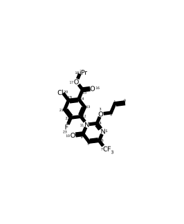 C=CCOc1nc(C(F)(F)F)cc(=O)n1-c1cc(C(=O)OC(C)C)c(Cl)cc1F